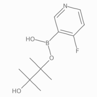 CC(C)(O)C(C)(C)OB(O)c1cnccc1F